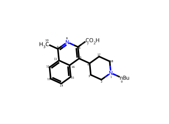 CCCCN1CCC(c2c(C(=O)O)nc(C)c3ccccc23)CC1